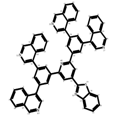 c1ccc2c(-c3cc(-c4cc(-c5nc6ccccc6s5)cc(-c5cc(-c6cncc7ccccc67)cc(-c6cncc7ccccc67)c5)n4)cc(-c4cncc5ccccc45)c3)cncc2c1